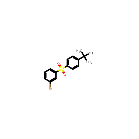 CC(C)(C)c1ccc(S(=O)(=O)c2cccc(Br)c2)cc1